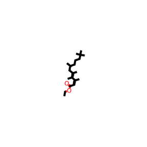 CCOC(=O)C=C(C)C(C)=C(C)CC(C)CCCC(C)(C)C